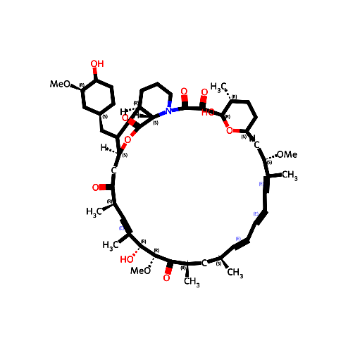 CO[C@H]1C[C@@H]2CC[C@@H](C)[C@@](O)(O2)C(=O)C(=O)N2CCC[C@@H]3C(C[C@@H]4CCC(O)[C@H](OC)C4)[C@H](CC(=O)[C@H](C)/C=C(\C)[C@@H](O)[C@@H](OC)C(=O)[C@H](C)C[C@H](C)/C=C/C=C/C=C/1C)OC(=O)[C@H]32